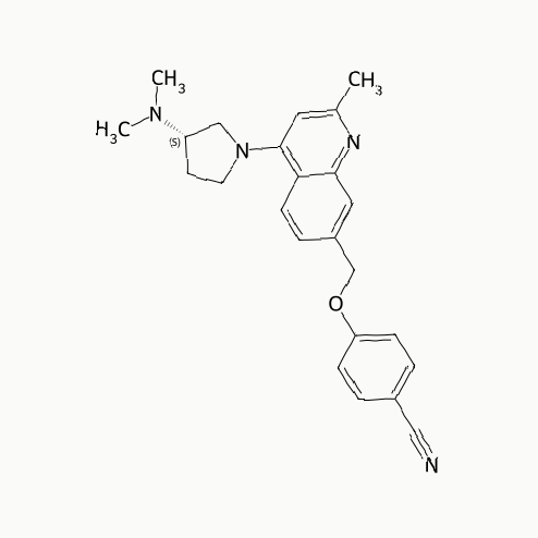 Cc1cc(N2CC[C@H](N(C)C)C2)c2ccc(COc3ccc(C#N)cc3)cc2n1